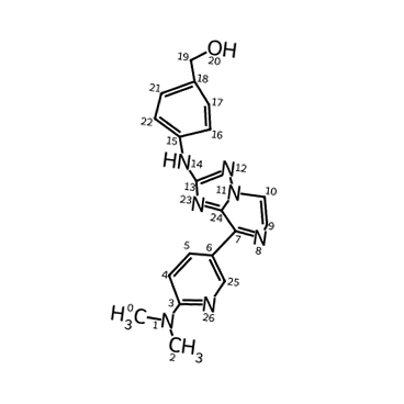 CN(C)c1ccc(-c2nccn3nc(Nc4ccc(CO)cc4)nc23)cn1